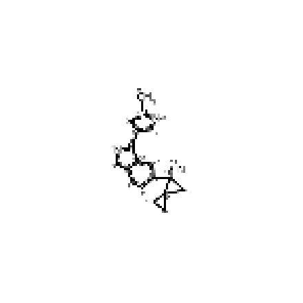 Cn1cc(-n2ncc3ccc(C4(C#N)CC45CC5)cc32)cn1